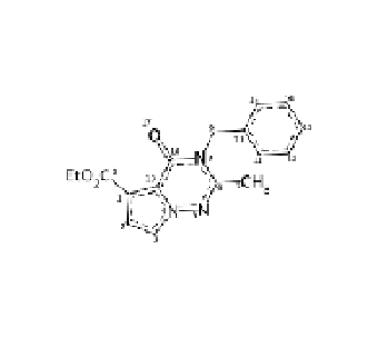 CCOC(=O)c1ccn2nc(C)n(Cc3ccccc3)c(=O)c12